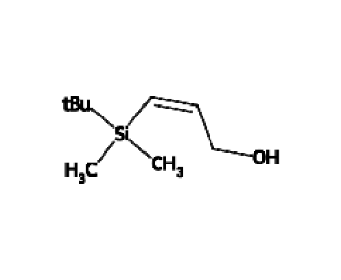 CC(C)(C)[Si](C)(C)/C=C\CO